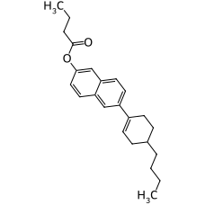 CCCCC1CC=C(c2ccc3cc(OC(=O)CCC)ccc3c2)CC1